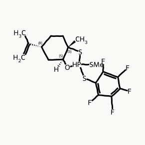 C=C(C)[C@@H]1CC[C@]2(C)S[PH](SC)(Sc3c(F)c(F)c(F)c(F)c3F)O[C@H]2C1